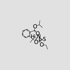 CCOP(N)(=S)OC(C)(C)c1ccccc1C(=O)OC(C)C